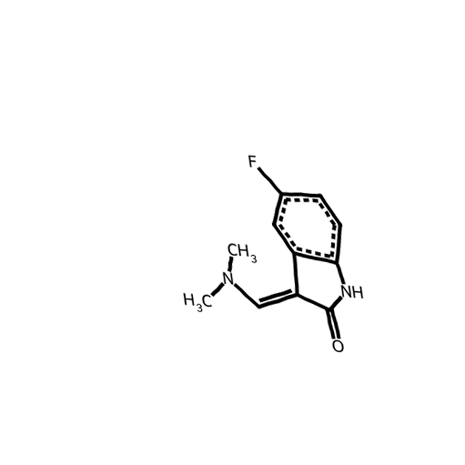 CN(C)/C=C1/C(=O)Nc2ccc(F)cc21